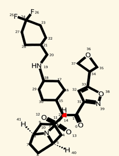 O=C(NC1C[C@H]2CC[C@@H](C1)N2S(=O)(=O)CC1CCC(NCC2CCC(F)(F)CC2)CC1)c1cc(C2COC2)on1